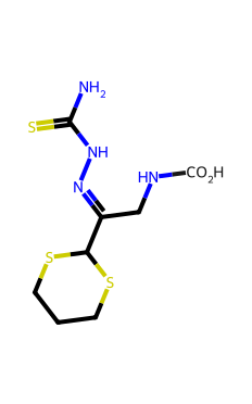 NC(=S)NN=C(CNC(=O)O)C1SCCCS1